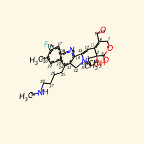 CC[C@@]1(O)C(=O)OCC(C=O)=C1/C=C1/c2nc3cc(F)c(C)cc3c(CCCCNC)c2CN1C